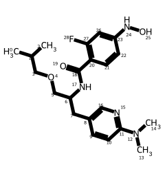 CC(C)COCC(Cc1ccc(N(C)C)nc1)NC(=O)c1ccc(NO)cc1F